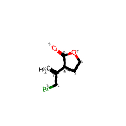 C=C(CBr)C1CCOC1=O